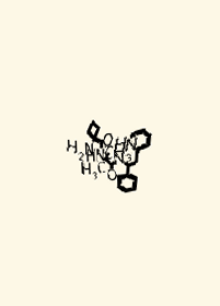 CC(C)(NC(=O)C1(N)CCC1)C(=O)NC(Cc1ccccn1)c1ccccc1